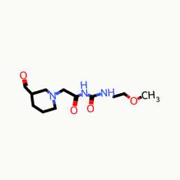 COCCNC(=O)NC(=O)CN1CCCC(C=O)C1